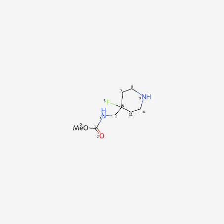 COC(=O)NCC1(F)CCNCC1